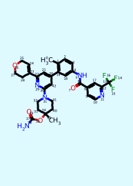 Cc1ccc(NC(=O)c2ccnc(C(F)(F)F)c2)cc1-c1cc(C2=CCOCC2)nc(N2CCC(C)(OC(N)=O)CC2)c1